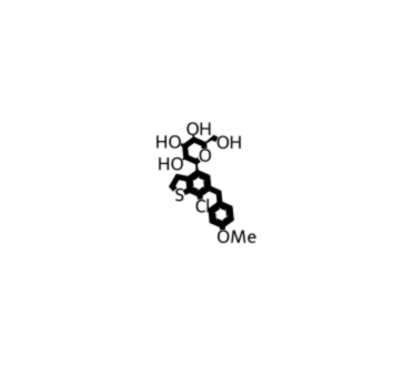 COc1ccc(Cc2cc([C@@H]3O[C@H](CO)[C@@H](O)[C@H](O)[C@H]3O)c3c(c2Cl)SCC3)cc1